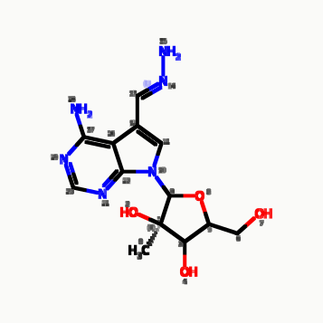 C[C@@]1(O)C(O)C(CO)OC1n1cc(/C=N/N)c2c(N)ncnc21